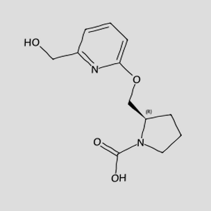 O=C(O)N1CCC[C@@H]1COc1cccc(CO)n1